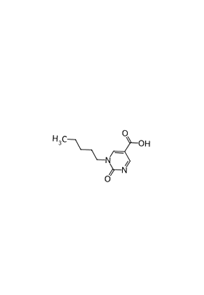 CCCCCn1cc(C(=O)O)cnc1=O